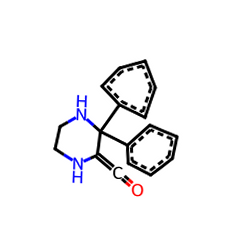 O=C=C1NCCNC1(c1ccccc1)c1ccccc1